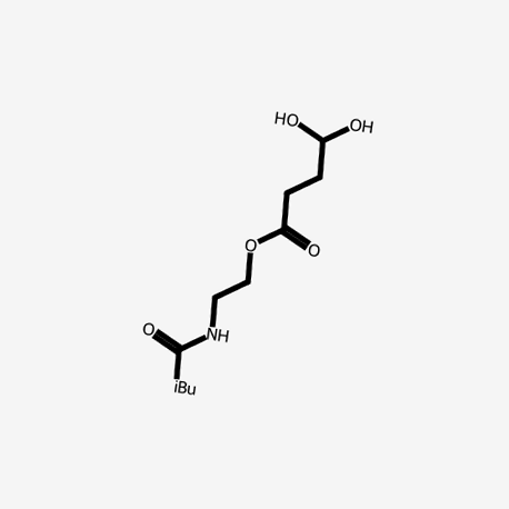 CCC(C)C(=O)NCCOC(=O)CCC(O)O